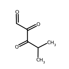 CC(C)C(=O)C(=O)C=O